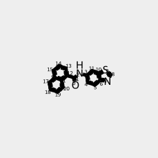 O=C(Nc1ccc2n[c]sc2c1)c1cccc2ccccc12